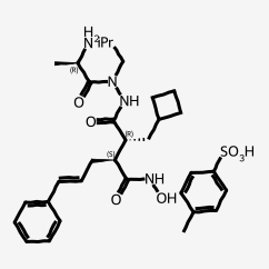 CC(C)CN(NC(=O)[C@H](CC1CCC1)[C@H](CC=Cc1ccccc1)C(=O)NO)C(=O)[C@@H](C)N.Cc1ccc(S(=O)(=O)O)cc1